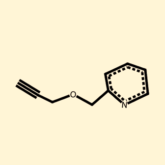 C#CCOCc1ccccn1